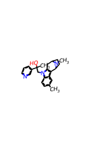 Cc1ccc2c(c1)c1c(n2CC(C)(O)c2cccnc2)CC2CCC1N2C